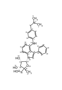 CN(C)Cc1ccc(Nc2ncnc3c2c(-c2ccccc2)cn3[C@@H]2O[C@](C)(CO)[C@H](O)[C@@H]2O)cc1